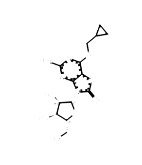 Nc1nc(OCC2CC2)c2sc(=O)n([C@@H]3O[C@H](CO)[C@@H](O)[C@H]3O)c2n1